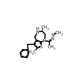 C=N/N=C(/C)N1C[C@H](C)NCc2c1sc(C)c2Cc1ccccc1